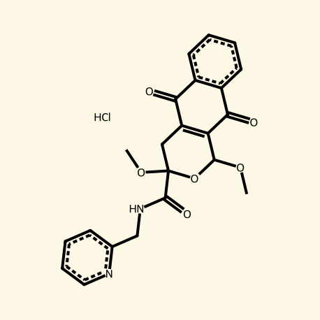 COC1OC(OC)(C(=O)NCc2ccccn2)CC2=C1C(=O)c1ccccc1C2=O.Cl